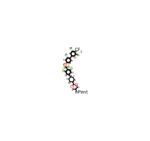 CCCCCC1COC(C2CCC(c3cc(F)c(C(F)(F)Oc4ccc(-c5cc(F)c(C(F)(F)F)c(F)c5)c(F)c4)c(F)c3)CC2)OC1